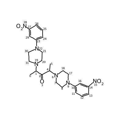 CC(C(=O)C(C)N1CCN(c2cccc([N+](=O)[O-])c2)CC1)N1CCN(c2cccc([N+](=O)[O-])c2)CC1